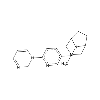 CN1CC2CCC(C1)N2Cc1ccc(N2C=CC=NC2)nc1